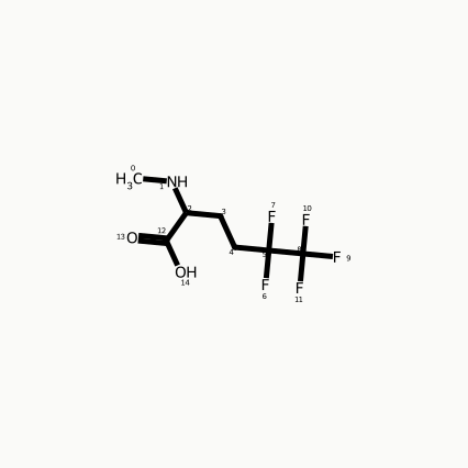 CNC(CCC(F)(F)C(F)(F)F)C(=O)O